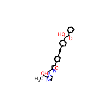 CC(O)c1nccn1Cc1cc(-c2ccc(C#Cc3ccc([C@H](O)C(=O)c4ccccc4)cc3)cc2)on1